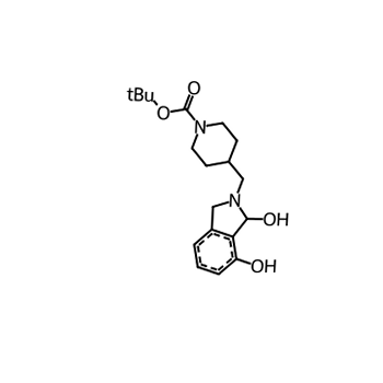 CC(C)(C)OC(=O)N1CCC(CN2Cc3cccc(O)c3C2O)CC1